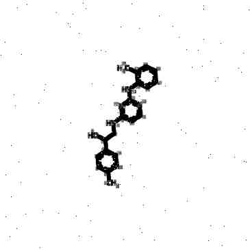 Cc1ccc(C(O)CNc2ccnc(Nc3ccccc3C)n2)cc1